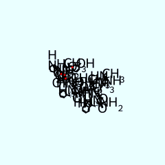 CNC(=N)NCCC[C@H](NC(=O)[C@H](CC(C)C)NC(=O)NNC(=O)[C@H](Cc1ccccc1)NC(=O)[C@@H](NC(=O)[C@H](CC(N)=O)NC(=O)C(CC1CCNCC1)NC(=O)[C@@H](Cc1ccc(O)cc1)NC(C)=O)[C@@H](C)O)C(=O)N[C@@H](Cc1c[nH]c2ccccc12)C(N)=O